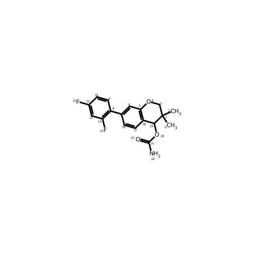 CC1(C)COc2cc(-c3ccc(F)cc3F)ccc2C1OC(N)=O